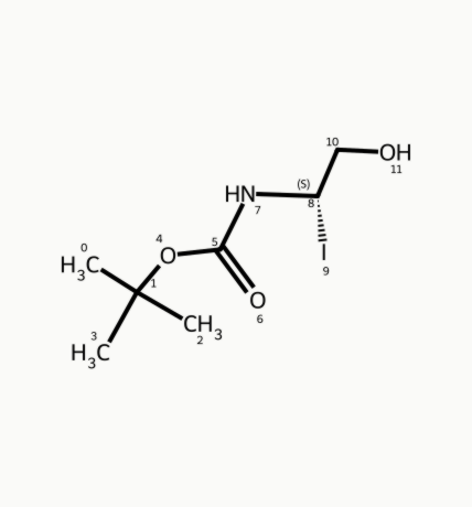 CC(C)(C)OC(=O)N[C@@H](I)CO